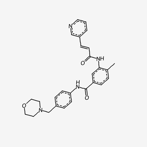 Cc1ccc(C(=O)Nc2ccc(CN3CCOCC3)cc2)cc1NC(=O)/C=C/c1cccnc1